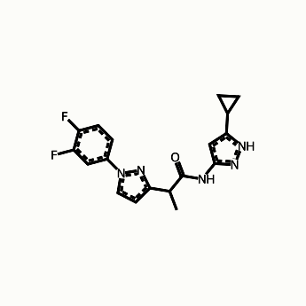 CC(C(=O)Nc1cc(C2CC2)[nH]n1)c1ccn(-c2ccc(F)c(F)c2)n1